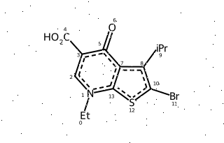 CCn1cc(C(=O)O)c(=O)c2c(C(C)C)c(Br)sc21